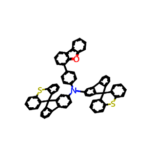 c1ccc2c(c1)Sc1ccccc1C21c2ccccc2-c2cc(N(c3ccc(-c4cccc5c4oc4ccccc45)cc3)c3ccc4c(c3)C3(c5ccccc5Sc5ccccc53)c3ccccc3-4)ccc21